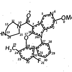 COc1cc2c(cn1)c(C(=O)N1CCNCC1)c(Oc1cc(F)ccc1C)n2-c1ccccc1